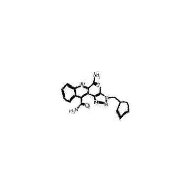 Cc1c(-c2c(C(N)=O)nc3ccccc3c2C(N)=O)nnn1CC1CCCC1